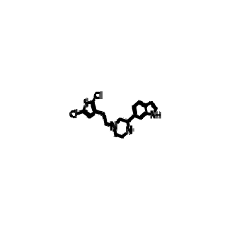 Clc1cc(CCN2CC[N]C(c3ccc4cc[nH]c4c3)C2)c(Cl)s1